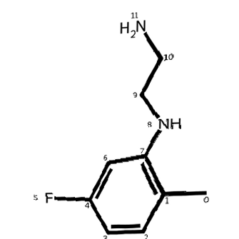 Cc1ccc(F)cc1NCCN